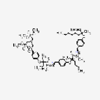 CCCCCCC(C)(N=[N+]=[N-])Oc1ccc(/C=N/N(C)[PH](=S)C(C)(CCCC)Oc2ccc(/C=N/N(C)[PH](=S)C(C)(CC)Oc3ccc(CCN(CP(=O)(OC)OC)CP(=O)(OC)OC)cc3)cc2)cc1